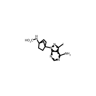 Nc1ncnc2c1c(I)nn2C12CCC(NC(=O)O)(CC1)C2